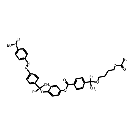 CCC(=O)OCCCCOC(C)(CC)c1ccc(C(=O)Oc2ccc(OC(C)(CC)c3ccc(N=Nc4ccc(N(CC)CC)cc4)cc3)cc2)cc1